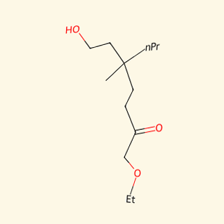 CCCC(C)(CCO)CCC(=O)COCC